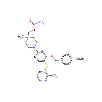 COc1ccc(COc2nc(N3CCC(C)(COC(N)=O)CC3)ncc2Sc2cccnc2C(F)(F)F)cc1